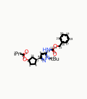 CC(C)C(=O)O[C@@H]1CC[C@H](c2cc(NC(=O)OCc3ccccc3)n(C(C)(C)C)n2)C1